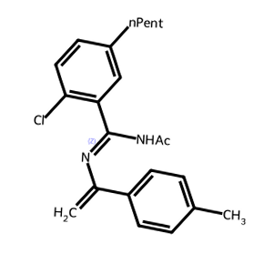 C=C(/N=C(\NC(C)=O)c1cc(CCCCC)ccc1Cl)c1ccc(C)cc1